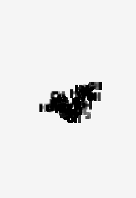 CC(=O)C(=O)O.CC(=O)C(=O)O.CC(C)C(=O)O.CC(CC(=O)O)C(=O)O.O=CC(O)C(O)C(O)CO